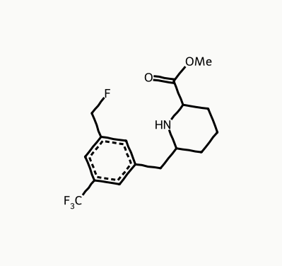 COC(=O)C1CCCC(Cc2cc(CF)cc(C(F)(F)F)c2)N1